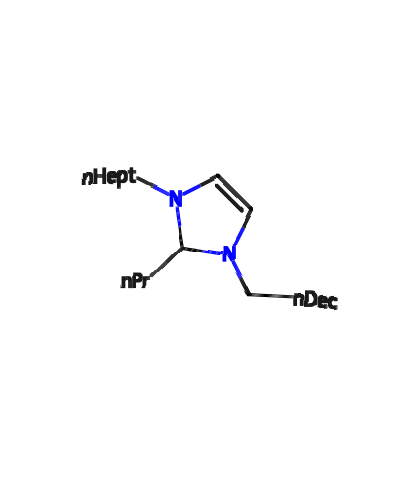 CCCCCCCCCCCN1C=CN(CCCCCCC)C1CCC